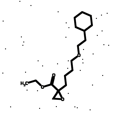 CCOC(=O)C1(CCCCOCCC2CCCCC2)CO1